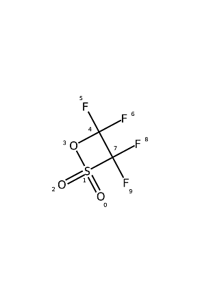 O=S1(=O)OC(F)(F)C1(F)F